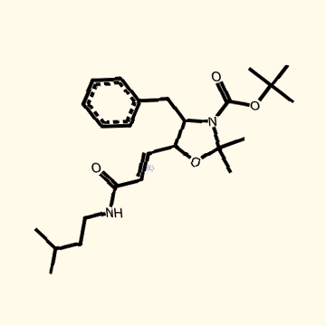 CC(C)CCNC(=O)/C=C/C1OC(C)(C)N(C(=O)OC(C)(C)C)C1Cc1ccccc1